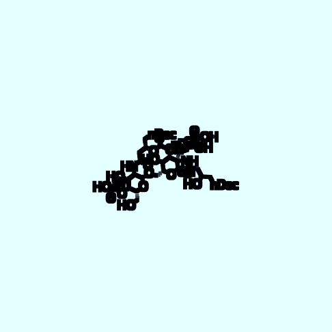 CCCCCCCCCCCC(=O)O[C@H](CCCCCCCCCCC)CC(=O)N[C@H]1[C@H](OC[C@H]2O[C@H](O)[C@](CCOP(=O)(O)O)(NC(=O)C[C@H](O)CCCCCCCCCCC)[C@@H](O)[C@@H]2O)O[C@H](CO)[C@@H](OP(=O)(O)O)[C@@H]1O